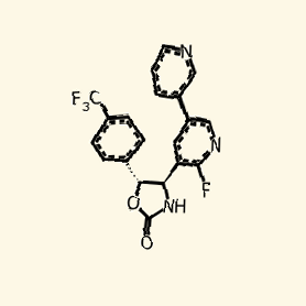 O=C1N[C@H](c2cc(-c3cccnc3)cnc2F)[C@@H](c2ccc(C(F)(F)F)cc2)O1